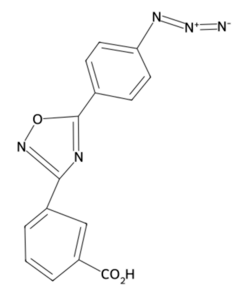 [N-]=[N+]=Nc1ccc(-c2nc(-c3cccc(C(=O)O)c3)no2)cc1